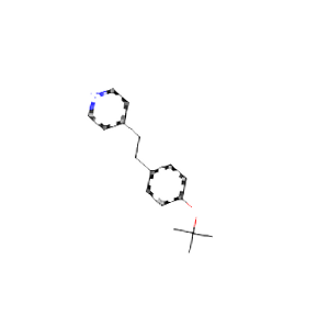 CC(C)(C)Oc1ccc(C[CH]c2ccncc2)cc1